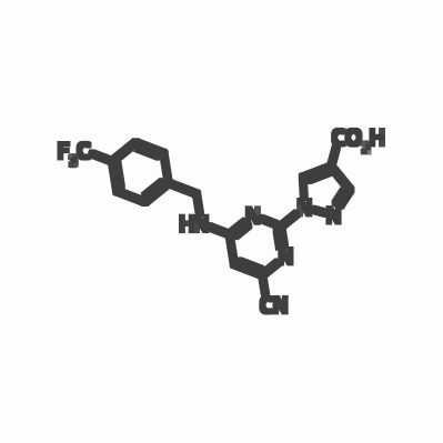 N#Cc1cc(NCc2ccc(C(F)(F)F)cc2)nc(-n2cc(C(=O)O)cn2)n1